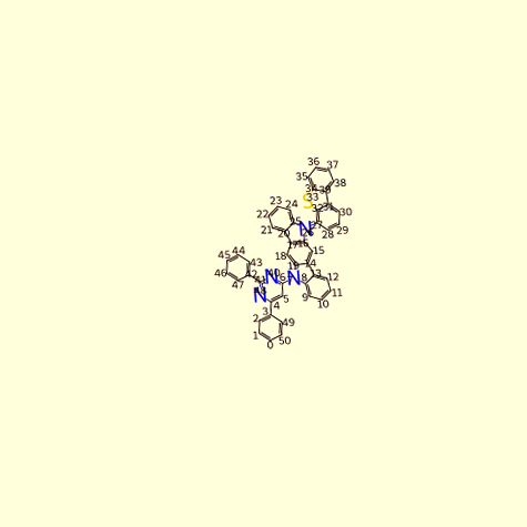 c1ccc(-c2cc(-n3c4ccccc4c4cc5c(cc43)c3ccccc3n5-c3cccc4c3sc3ccccc34)nc(-c3ccccc3)n2)cc1